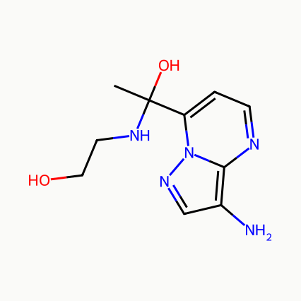 CC(O)(NCCO)c1ccnc2c(N)cnn12